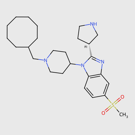 CS(=O)(=O)c1ccc2c(c1)nc([C@@H]1CCNC1)n2C1CCN(CC2CCCCCCC2)CC1